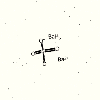 O=S(=O)([O-])[O-].[Ba+2].[BaH2]